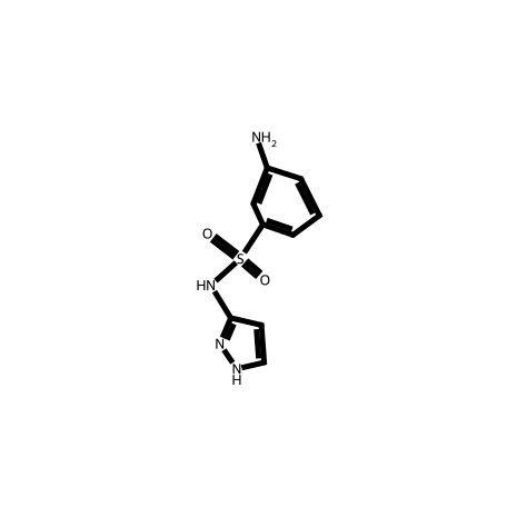 Nc1cccc(S(=O)(=O)Nc2cc[nH]n2)c1